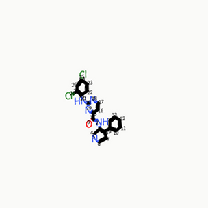 O=C(Nc1cnccc1-c1ccccc1)c1ccnc(Nc2ccc(Cl)cc2Cl)n1